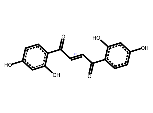 O=C(/C=C/C(=O)c1ccc(O)cc1O)c1ccc(O)cc1O